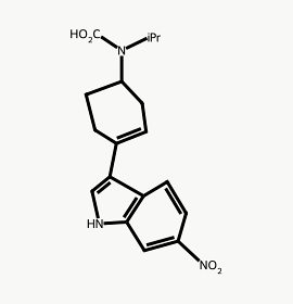 CC(C)N(C(=O)O)C1CC=C(c2c[nH]c3cc([N+](=O)[O-])ccc23)CC1